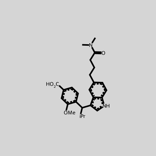 COc1cc(C(=O)O)ccc1C(c1c[nH]c2ccc(CCCC(=O)N(C)C)cc12)C(C)C